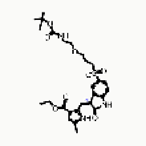 CCOC(=O)c1cc(C)[nH]c1/C=C1\C(=O)Nc2ccc(S(=O)(=O)CCCOCCNC(=O)OC(C)(C)C)cc21